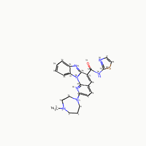 CN1CCCN(c2ccc3cc(C(=O)Nc4nccs4)c4nc5ccccc5n4c3n2)CC1